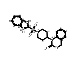 O=C1OCc2ccccc2N1C1CCN(S(=O)(=O)c2nc3ccccc3[nH]2)CC1